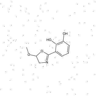 COC1CN=C(c2cccc(O)c2O)O1